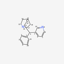 c1ccc(C(c2cccnc2)C2CC3CCN2CC3)cc1